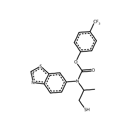 CC(CS)N(C(=O)Oc1ccc(C(F)(F)F)cc1)c1ccc2ncsc2c1